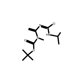 C=C(/N=C(/Cl)NC(C)C)N(C)C(=O)OC(C)(C)C